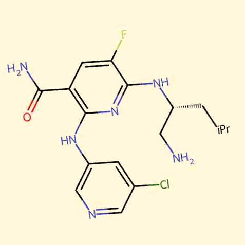 CC(C)C[C@H](CN)Nc1nc(Nc2cncc(Cl)c2)c(C(N)=O)cc1F